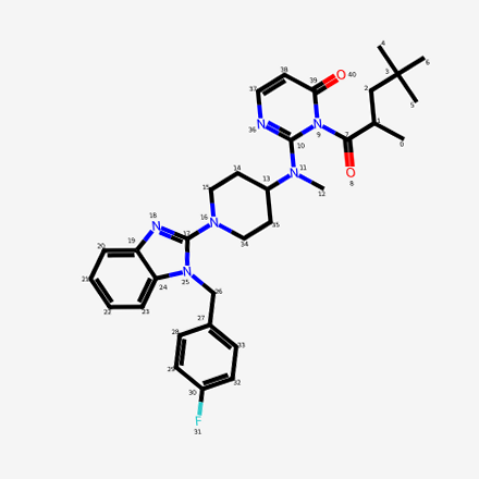 CC(CC(C)(C)C)C(=O)n1c(N(C)C2CCN(c3nc4ccccc4n3Cc3ccc(F)cc3)CC2)nccc1=O